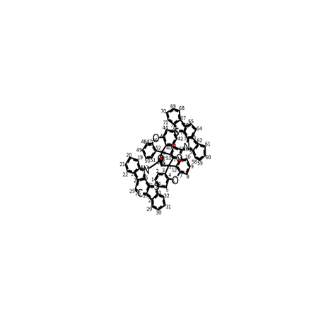 c1ccc2c(c1)Oc1ccccc1C21c2cc(-n3c4ccccc4c4ccc5c6ccccc6sc5c43)oc2C2(c3ccccc3Oc3ccccc32)c2cc(-n3c4ccccc4c4ccc5c6ccccc6sc5c43)oc21